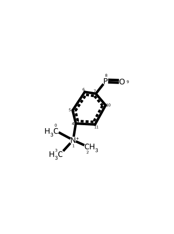 C[N+](C)(C)c1ccc(P=O)cc1